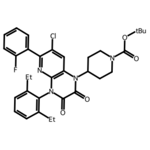 CCc1cccc(CC)c1-n1c(=O)c(=O)n(C2CCN(C(=O)OC(C)(C)C)CC2)c2cc(Cl)c(-c3ccccc3F)nc21